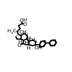 C[C@H](CCC(=O)O)[C@H]1CC[C@H]2[C@@H]3C(=O)C[C@@H]4C[C@](O)(c5ccc(-c6ccccc6)cc5)CC[C@]4(C)[C@H]3CC[C@]12C